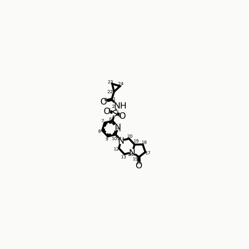 O=C(NS(=O)(=O)c1cccc(N2CCN3C(=O)CCC3C2)n1)C1CC1